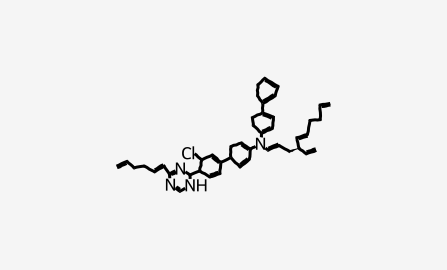 C=CCC/C=C/C1=NC(C2C=CC(C3C=CC(N(/C=C/C[C@H](C=C)/C=C/CCC=C)C4=CC=C(C5=CC=CCC5)CC4)=CC3)=CC2Cl)NC=N1